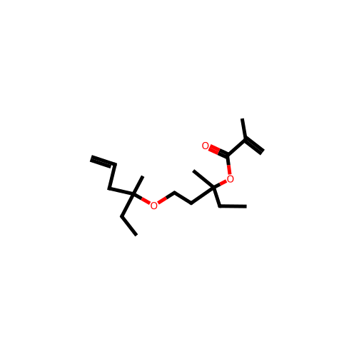 C=CCC(C)(CC)OCCC(C)(CC)OC(=O)C(=C)C